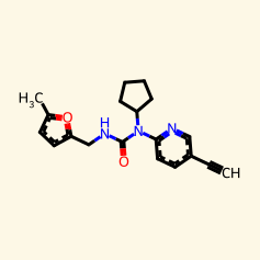 C#Cc1ccc(N(C(=O)NCc2ccc(C)o2)C2CCCC2)nc1